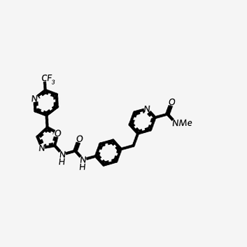 CNC(=O)c1cc(Cc2ccc(NC(=O)Nc3ncc(-c4ccc(C(F)(F)F)nc4)o3)cc2)ccn1